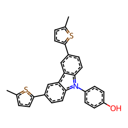 Cc1ccc(-c2ccc3c(c2)c2cc(-c4ccc(C)s4)ccc2n3-c2ccc(O)cc2)s1